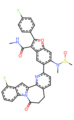 CNC(=O)c1c(-c2ccc(F)cc2)oc2cc(N(C)[S+](C)[O-])c(-c3ccc4c(n3)-c3cc5c(F)cccc5n3C(=O)CC4)cc12